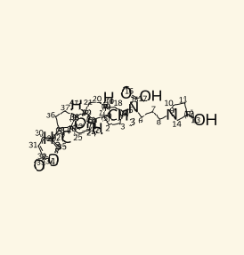 C[C@]12CC[C@H](N(CCCN3CC[C@@H](O)C3)C(=O)O)C[C@H]1CC[C@@H]1[C@@H]2CC[C@]2(C)[C@@H](c3ccc(=O)oc3)CC[C@]12O